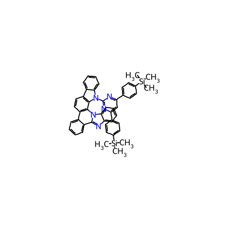 C[Si](C)(C)c1ccc(-c2cc(-c3ccc([Si](C)(C)C)cc3)nc(-n3c4ccccc4c4ccc5c6ccccc6c6nc7ccccc7n6c5c43)n2)cc1